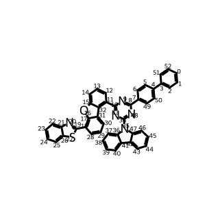 c1ccc(-c2ccc(-c3nc(-c4cccc5oc6c(-c7nc8ccccc8s7)cccc6c45)nc(-n4c5ccccc5c5ccccc54)n3)cc2)cc1